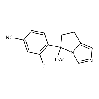 CC(=O)OC1(c2ccc(C#N)cc2Cl)CCc2cncn21